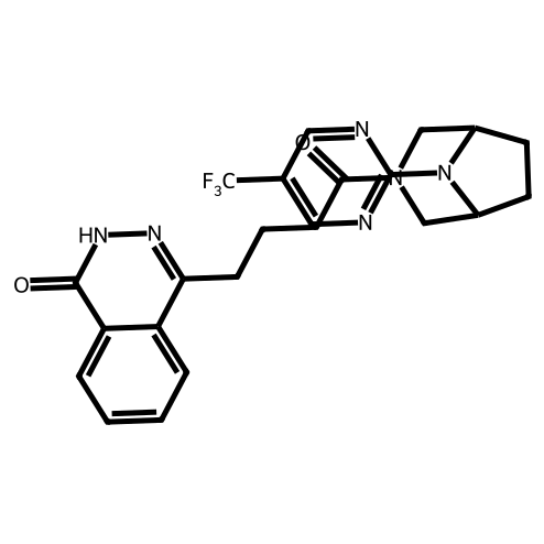 O=C(CCCc1n[nH]c(=O)c2ccccc12)N1CC2CCC(C1)N2c1ncc(C(F)(F)F)cn1